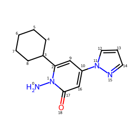 Nn1c(C2CCCCC2)cc(-n2cccn2)cc1=O